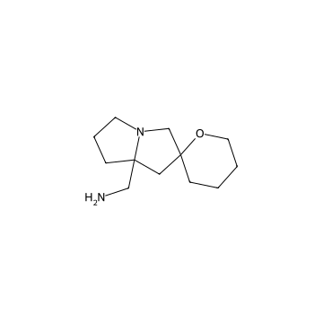 NCC12CCCN1CC1(CCCCO1)C2